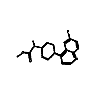 COC(=O)C(C)C1CCC(c2ccnc3ccc(F)cc23)CC1